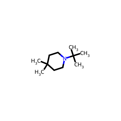 CC1(C)CCN(C(C)(C)C)CC1